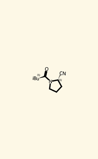 CC[C@H](C)C(=O)N1CCC[C@H]1C#N